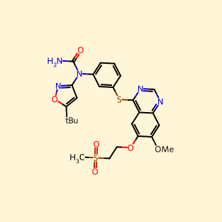 COc1cc2ncnc(Sc3cccc(N(C(N)=O)c4cc(C(C)(C)C)on4)c3)c2cc1OCCS(C)(=O)=O